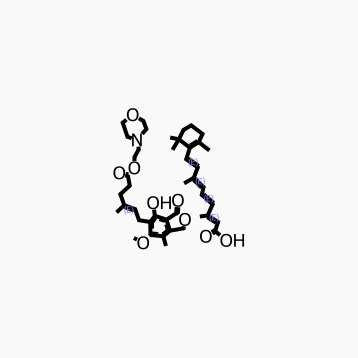 CC1=C(/C=C/C(C)=C/C=C/C(C)=C/C(=O)O)C(C)(C)CCC1.COc1c(C)c2c(c(O)c1C/C=C(\C)CCC(=O)OCCN1CCOCC1)C(=O)OC2